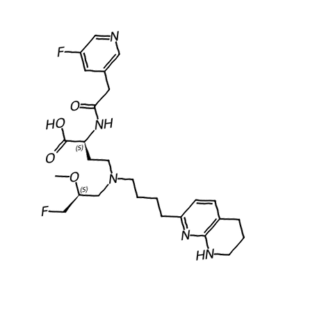 CO[C@H](CF)CN(CCCCc1ccc2c(n1)NCCC2)CC[C@H](NC(=O)Cc1cncc(F)c1)C(=O)O